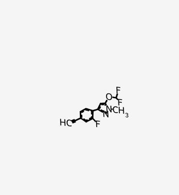 C#Cc1ccc(-c2cc(OC(F)F)n(C)n2)c(F)c1